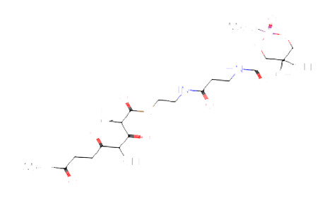 COC(=O)CCC(=O)C(C)C(=O)C(C)C(=O)SCCNC(=O)CCNC(=O)[C@@H]1OP(=O)(OC)OCC1(C)C